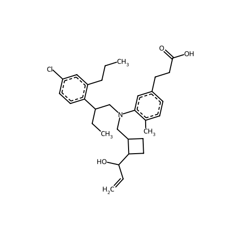 C=CC(O)C1CCC1CN(CC(CC)c1ccc(Cl)cc1CCC)c1cc(CCC(=O)O)ccc1C